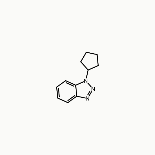 c1ccc2c(c1)nnn2C1CCCC1